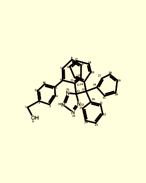 OCc1ccc(-c2ccccc2C2(C(c3ccccc3)(c3ccccc3)c3ccccc3)N=NN=N2)cc1